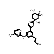 CC(C)(C)C=Cc1cc(Nc2nccc(C(F)(F)F)n2)cc(-c2cnc([C@@]3(O)CC[C@H](C(=O)O)C(C)(C)C3)s2)c1